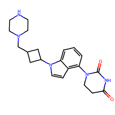 O=C1CCN(c2cccc3c2ccn3C2CC(CN3CCNCC3)C2)C(=O)N1